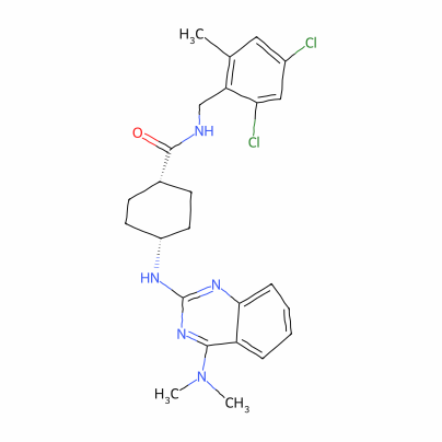 Cc1cc(Cl)cc(Cl)c1CNC(=O)[C@H]1CC[C@@H](Nc2nc(N(C)C)c3ccccc3n2)CC1